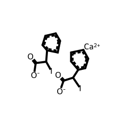 O=C([O-])C(I)c1ccccc1.O=C([O-])C(I)c1ccccc1.[Ca+2]